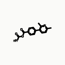 CCCC(=O)OC(=O)c1ccc(-c2ccc(C)nc2C)cc1